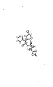 CC(=O)NNC1=Nc2ccc(Cl)cc2C(c2ccccc2)=[N+]([O-])C1